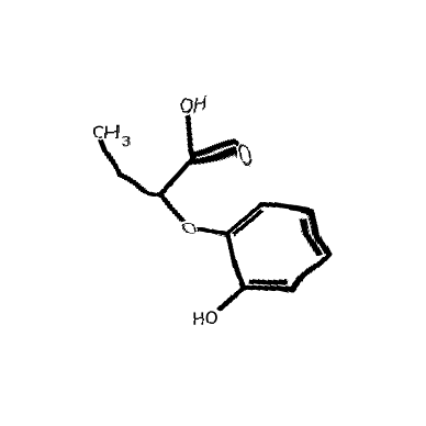 CCC(Oc1ccccc1O)C(=O)O